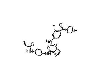 C=CC(=O)N[C@H]1CC[C@@H](Nc2nc(Nc3ccc(C(=O)N4CCN(C)CC4)c(F)c3)nc3ccsc23)CC1